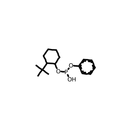 CC(C)(C)C1CCCCC1OP(O)Oc1ccccc1